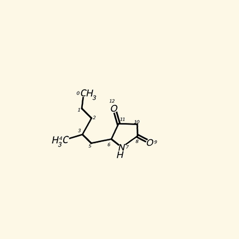 CCCC(C)CC1NC(=O)CC1=O